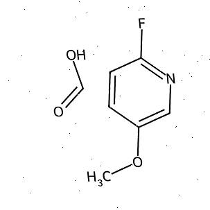 COc1ccc(F)nc1.O=CO